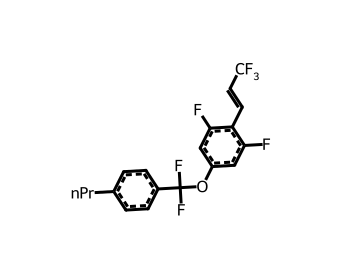 CCCc1ccc(C(F)(F)Oc2cc(F)c(/C=C/C(F)(F)F)c(F)c2)cc1